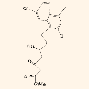 COC(=O)CC(=O)CC(O)CCc1c(Cl)cc(C)c2ccc(Cl)cc12